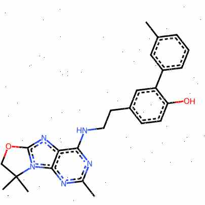 Cc1cccc(-c2cc(CCNc3nc(C)nc4c3nc3n4C(C)(C)CO3)ccc2O)c1